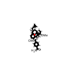 COc1ccc2c3c1O[C@H]1[C@@]4(OC)CC[C@@]5(C[C@@H]4COCc4ccc(C(N)=O)cc4)[C@@H](C2)[N@@+](C)(CC2CC2)CC[C@]315